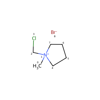 C[N+]1(CCl)CCCC1.[Br-]